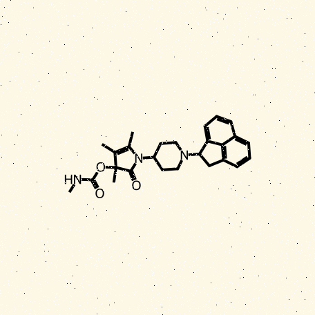 CNC(=O)OC1(C)C(=O)N(C2CCN(C3Cc4cccc5cccc3c45)CC2)C(C)=C1C